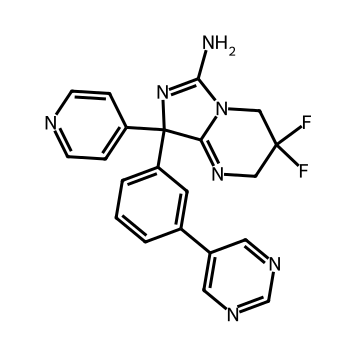 NC1=NC(c2ccncc2)(c2cccc(-c3cncnc3)c2)C2=NCC(F)(F)CN12